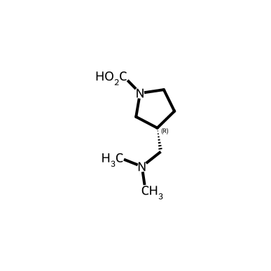 CN(C)C[C@H]1CCN(C(=O)O)C1